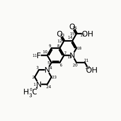 CN1CCN(c2cc3c(cc2F)c(=O)c(C(=O)O)cn3CCO)CC1